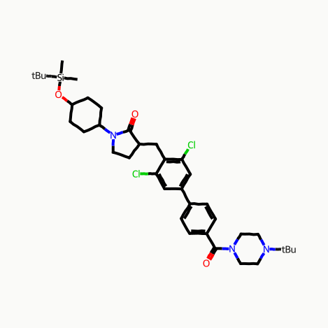 CC(C)(C)N1CCN(C(=O)c2ccc(-c3cc(Cl)c(CC4CCN(C5CCC(O[Si](C)(C)C(C)(C)C)CC5)C4=O)c(Cl)c3)cc2)CC1